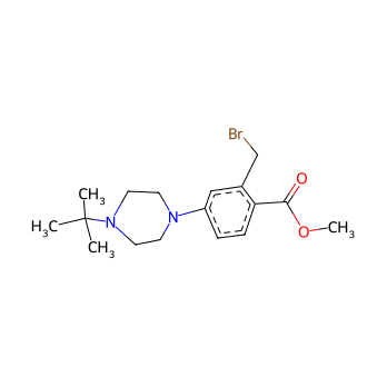 COC(=O)c1ccc(N2CCN(C(C)(C)C)CC2)cc1CBr